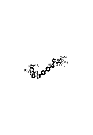 COC(=O)N[C@H](C(=O)N1CCCC1c1ncc(-c2ccc(-c3ccc(-c4cnc([C@@H]5CCCN5C(=O)[C@H](Cc5cncn5C)N(C)C(=O)O)[nH]4)cc3)cc2)[nH]1)[C@@H](C)OC